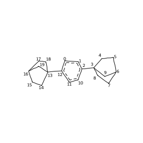 c1cc(C23CCC(CC2)C3)ccc1C12CCC(CC1)C2